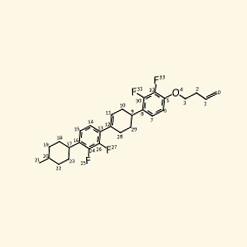 C=CCCOc1ccc(C2CC=C(c3ccc(C4CCC(C)CC4)c(F)c3F)CC2)c(F)c1F